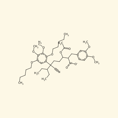 CCCCCOc1cc(C(C#N)(CCC(OC(C)=O)C(Cc2ccc(OC)c(OC)c2)[N+](=O)[O-])C(CC)CC)c(OCCCCC)c(OC)c1OC